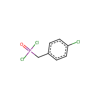 O=P(Cl)(Cl)Cc1ccc(Cl)cc1